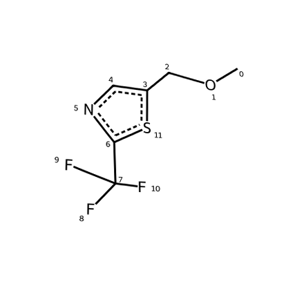 COCc1cnc(C(F)(F)F)s1